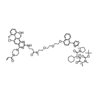 C=CC(=O)N1CCN(c2nc(NCCC(=O)N(C)CCOCCOCCOc3ccc(-c4csc([C@@H]5CCCN5C(=O)[C@@H](NC(=O)[C@H](C)N(C)C(=O)OC(C)(C)C)C5CCCCC5)n4)c4ccccc34)nc3c(F)c(-c4c(O)cccc4F)c(Cl)cc23)CC1